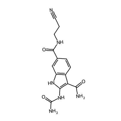 N#CCCNC(=O)c1ccc2c(C(N)=O)c(NC(N)=O)[nH]c2c1